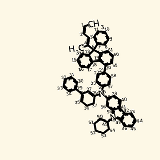 C/C=C\C=C(/C)C1(c2ccccc2)c2ccccc2-c2c(-c3ccc(N(C4=CC(c5ccccc5)=CCC4)c4ccc5c6ccccc6n(C6CCCCC6)c5c4)cc3)cccc21